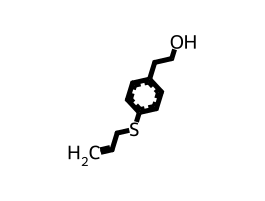 C=CCSc1ccc(CCO)cc1